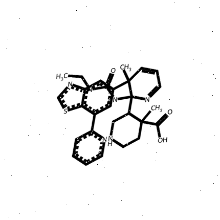 CCNC(=O)NC1(C2CNCCC2(C)C(=O)O)N=CC=CC1(C)c1cc(-c2ccccn2)c2scnc2c1